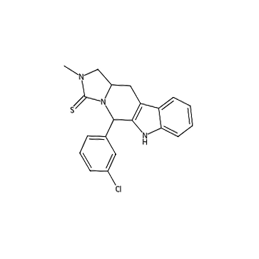 CN1CC2Cc3c([nH]c4ccccc34)C(c3cccc(Cl)c3)N2C1=S